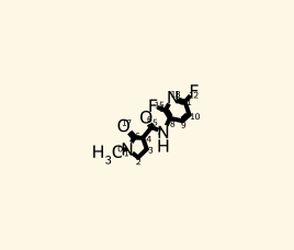 CN1CCC(C(=O)Nc2ccc(F)nc2F)C1=O